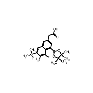 CC1(C)OB(c2cc(CC(=O)O)cc3cc([Si](C)(C)C)c(F)c(F)c23)OC1(C)C